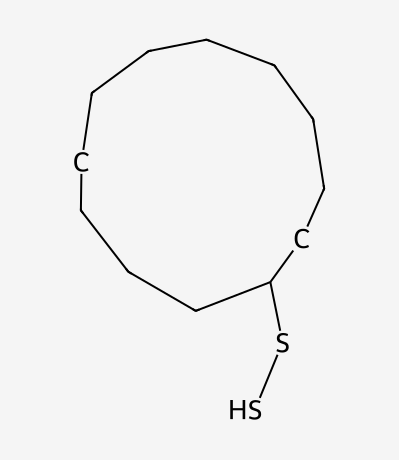 SSC1CCCCCCCCCCC1